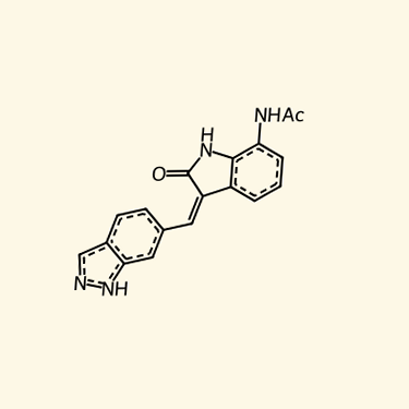 CC(=O)Nc1cccc2c1NC(=O)C2=Cc1ccc2cn[nH]c2c1